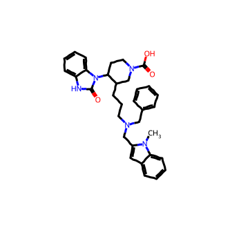 Cn1c(CN(CCCC2CN(C(=O)O)CCC2n2c(=O)[nH]c3ccccc32)Cc2ccccc2)cc2ccccc21